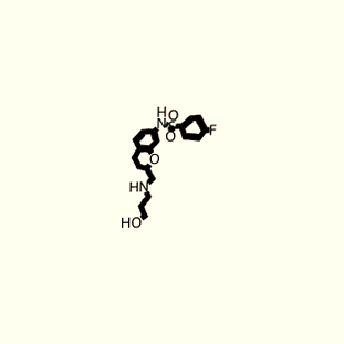 O=S(=O)(Nc1ccc2c(c1)OC(CNCCCO)CC2)c1ccc(F)cc1